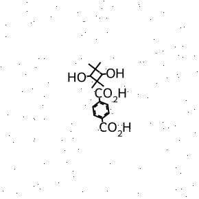 CC1(C)C(O)C(C)(C)C1O.O=C(O)c1ccc(C(=O)O)cc1